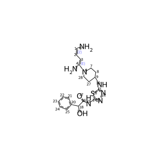 N/C=C\C=C(/N)N1CCC(Nc2nnc(NC(=O)C(O)c3ccccc3)s2)CC1